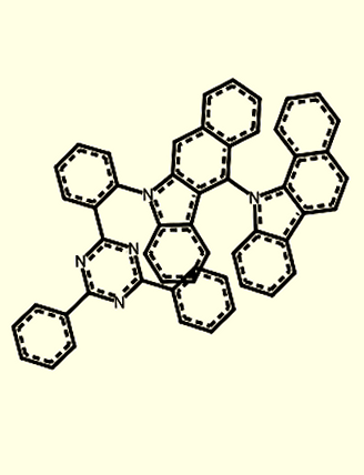 c1ccc(-c2nc(-c3ccccc3)nc(-c3ccccc3-n3c4ccccc4c4c(-n5c6ccccc6c6ccc7ccccc7c65)c5ccccc5cc43)n2)cc1